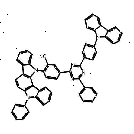 N#Cc1cc(-c2nc(-c3ccccc3)nc(-c3ccc(-n4c5ccccc5c5ccccc54)cc3)n2)ccc1-n1c2ccccc2c2ccc3c(c4ccccc4n3-c3ccccc3)c21